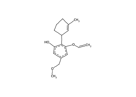 C=COc1cc(COC)cc(O)c1C1C=C(C)CCC1